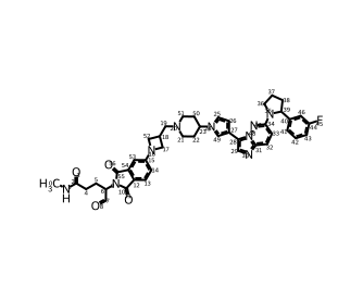 CNC(=O)CCC(C=O)N1C(=O)c2ccc(N3CC(CN4CCC(n5ccc(-c6cnc7ccc(N8CCCC8c8cccc(F)c8)nn67)c5)CC4)C3)cc2C1=O